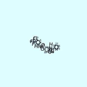 O=C(Nc1ccc(Cl)c(C(F)(F)F)c1)OC1CCC2(CC1)NC(c1ccccc1)=NO2